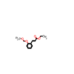 CCOC(=O)/C=C/c1ccccc1OCOC